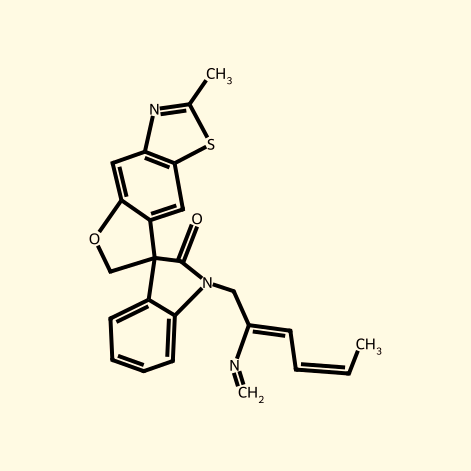 C=N/C(=C\C=C/C)CN1C(=O)C2(COc3cc4nc(C)sc4cc32)c2ccccc21